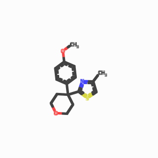 COc1ccc(C2(c3nc(C)cs3)CCOCC2)cc1